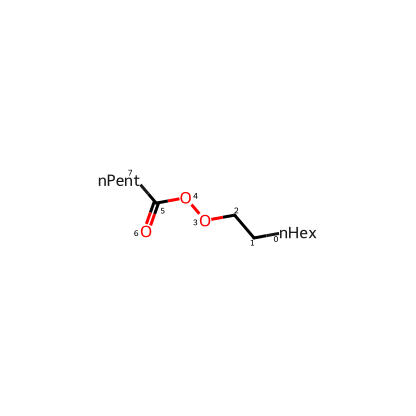 CCCCCCCCOOC(=O)CCCCC